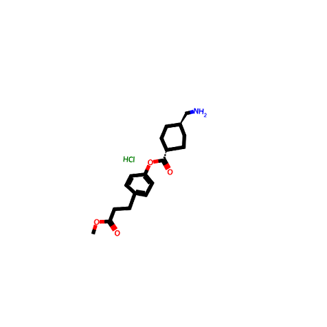 COC(=O)CCc1ccc(OC(=O)[C@H]2CC[C@H](CN)CC2)cc1.Cl